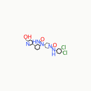 O=C(Nc1ccc(Cl)c(Cl)c1)N1CCC(n2c(=O)[nH]c3c(-c4ccc(CO)nc4)cccc32)CC1